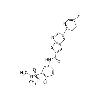 CN(C)S(=O)(=O)c1cc(NC(=O)c2cc3cc(-c4ccc(F)cn4)cnc3s2)ccc1Cl